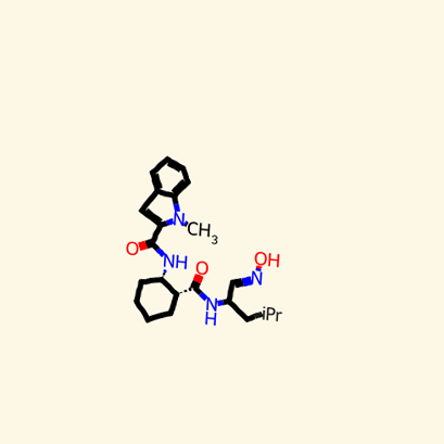 CC(C)CC(C=NO)NC(=O)[C@@H]1CCCC[C@@H]1NC(=O)c1cc2ccccc2n1C